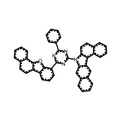 c1ccc(-c2nc(-c3cccc4c3oc3c5ccccc5ccc43)nc(-n3c4cc5ccccc5cc4c4c5ccccc5ccc43)n2)cc1